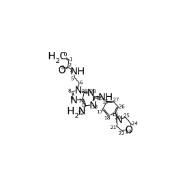 C=CC(=O)NCCn1cnc2c(N)nc(Nc3ccc(N4CCOCC4)cc3)nc21